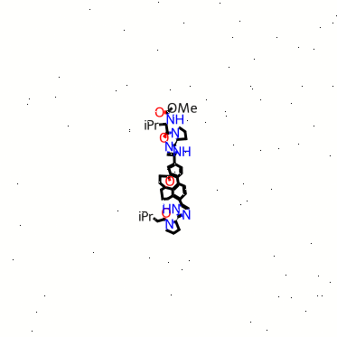 COC(=O)NC(C(=O)N1CCC[C@H]1c1ncc(-c2ccc(-c3ccc(-c4cnc([C@@H]5CCCN5C(=O)CC(C)C)[nH]4)c4c3C3(CCCO3)CCC4)cc2)[nH]1)C(C)C